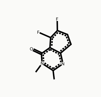 Cc1nc2ccc(F)c(F)c2c(=O)n1C